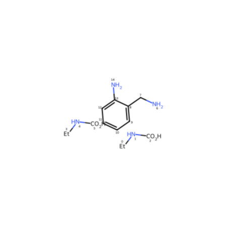 CCNC(=O)O.CCNC(=O)O.NCc1ccccc1N